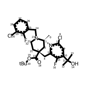 C[C@@H]1C[C@](Cc2nc(Cl)cc(C(C)(C)O)c2F)(C(=O)OC(C)(C)C)CCN1Cc1cccc(Cl)c1F